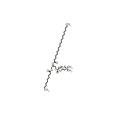 CCCCCCCCCCCCCCCCCCCC(=O)O[C@H](COC(=O)CCCCCCCCC)COP(=O)(O)OCC[N+](C)(C)C